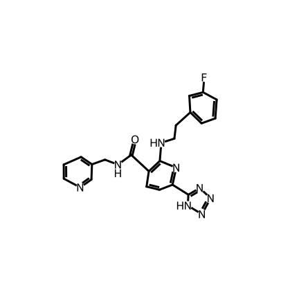 O=C(NCc1cccnc1)c1ccc(-c2nnn[nH]2)nc1NCCc1cccc(F)c1